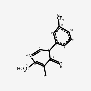 CC1=C(C(=O)O)N=CC(c2cccc(C(F)(F)F)c2)C1=O